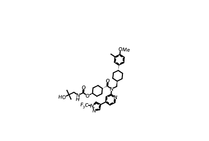 COc1ccc([C@H]2CC[C@H](CN(c3cc(-c4cnn(C(F)(F)F)c4)ccn3)C(=O)[C@H]3CC[C@H](OC(=O)NCC(C)(C)O)CC3)CC2)cc1C